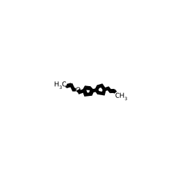 CC=CCOCc1ccc(C2CCC(CC=CC)CC2)cc1